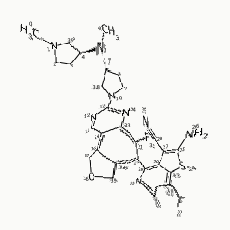 CN1CC[C@H](N(C)[C@@H]2CCN(c3ncc4c5c(c(-c6ncc(F)c7sc(N)c(C#N)c67)c(F)c4n3)COC5)C2)C1